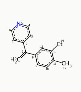 C=C(c1ccncc1)c1ccc(C)c(CC)c1